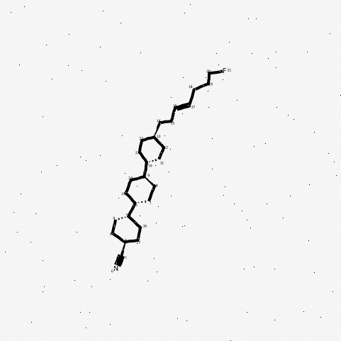 N#C[C@H]1CC[C@H]([C@H]2CC[C@H]([C@H]3CC[C@H](CCC=CCCCF)CC3)CC2)CC1